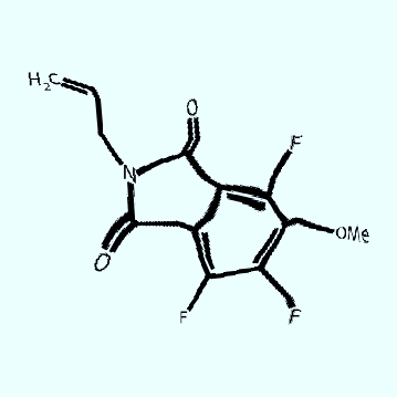 C=CCN1C(=O)c2c(F)c(F)c(OC)c(F)c2C1=O